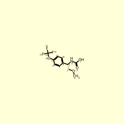 COC[C@@H](NC(=O)O)c1ccc(OC(F)(F)F)cc1